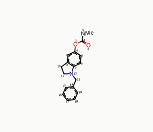 CNC(=O)Oc1ccc2c(c1)CCN2Cc1ccccc1